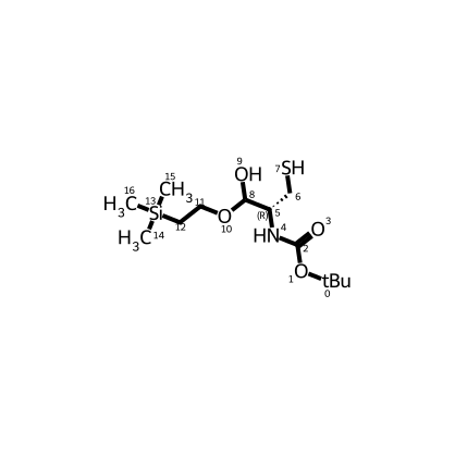 CC(C)(C)OC(=O)N[C@@H](CS)C(O)OCC[Si](C)(C)C